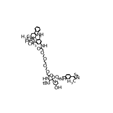 Cc1ncsc1-c1ccc(CNC(=O)[C@@H]2C[C@@H](O)CN2C(=O)C(NC(=O)COCCOCCOCCOCC(=O)Nc2cc(F)c([C@@H]3c4[nH]c5ccccc5c4C[C@@H](C)N3CC(C)(C)F)c(F)c2)C(C)(C)C)cc1